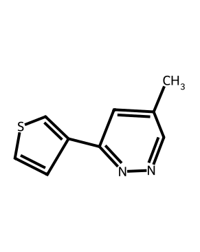 Cc1cnnc(-c2ccsc2)c1